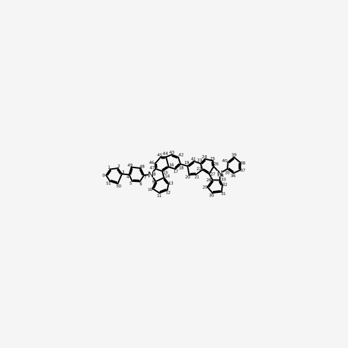 c1ccc(-c2ccc(-n3c4ccccc4c4c5cc(-c6ccc7c(ccc8c7c7ccccc7n8-c7ccccc7)c6)ccc5ccc43)cc2)cc1